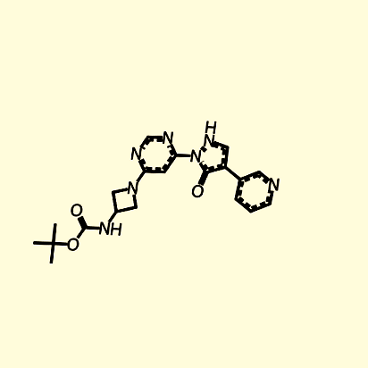 CC(C)(C)OC(=O)NC1CN(c2cc(-n3[nH]cc(-c4cccnc4)c3=O)ncn2)C1